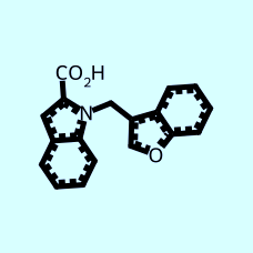 O=C(O)c1cc2ccccc2n1Cc1coc2ccccc12